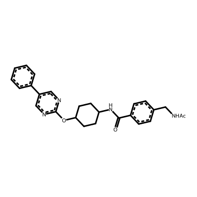 CC(=O)NCc1ccc(C(=O)NC2CCC(Oc3ncc(-c4ccccc4)cn3)CC2)cc1